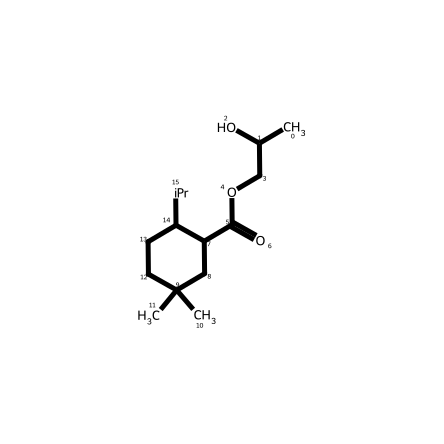 CC(O)COC(=O)C1CC(C)(C)CCC1C(C)C